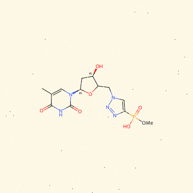 COP(=O)(O)c1cn(CC2O[C@@H](n3cc(C)c(=O)[nH]c3=O)C[C@H]2O)nn1